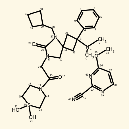 CN(C)C1(c2ccccc2)CC2(CN(CC(=O)N3CCS(O)(O)CC3)C(=O)N2CC2CCC2)C1.COc1ccnc(C#N)n1